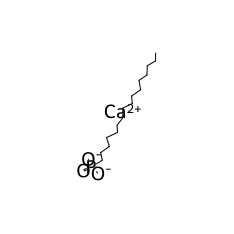 CCCCCCCCCCCCCCCCP(=O)([O-])[O-].[Ca+2]